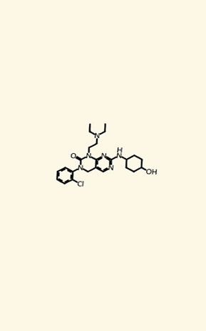 CCN(CC)CCN1C(=O)N(c2ccccc2Cl)Cc2cnc(NC3CCC(O)CC3)nc21